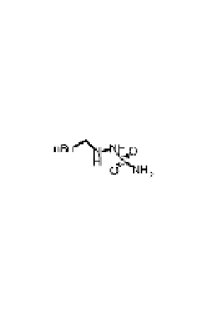 CCCCCNNS(N)(=O)=O